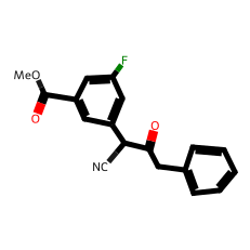 COC(=O)c1cc(F)cc(C(C#N)C(=O)Cc2ccccc2)c1